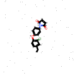 CCc1ccc(Oc2ccc(N3C(=O)C=CC3=O)cc2)c(Cl)c1